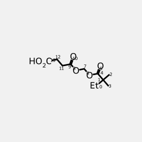 CCC(C)(C)C(=O)OCOC(=O)CCC(=O)O